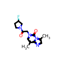 Cc1cn(CC(=O)N2CCC(F)C2)c(=O)n2c(C)cnc12